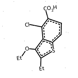 CCOc1c(CC)sc2ccc(C(=O)O)c(Cl)c12